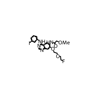 COCC(=O)Nc1cc2c(Nc3cccc(I)c3)ncnc2cc1OCCOCCF